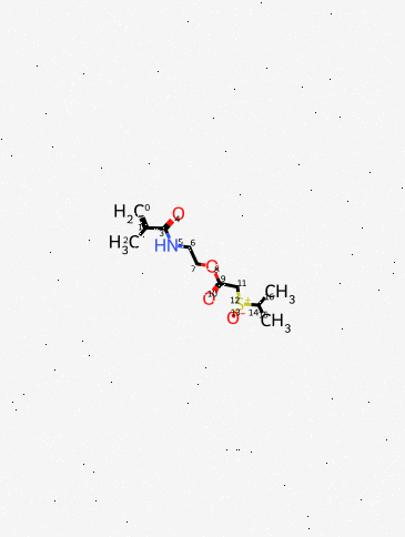 C=C(C)C(=O)NCCOC(=O)C[S+]([O-])C(C)C